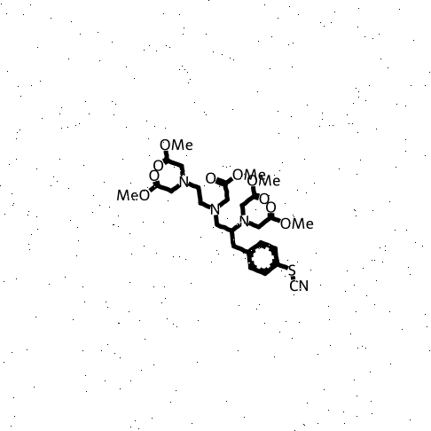 COC(=O)CN(CCN(CC(=O)OC)CC(Cc1ccc(SC#N)cc1)N(CC(=O)OC)CC(=O)OC)CC(=O)OC